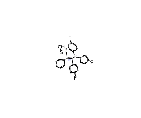 CSC/C(=C(\B(c1ccc(F)cc1)c1ccc(F)cc1)c1ccc(F)cc1)c1ccccc1